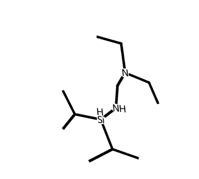 CCN(CC)CN[SiH](C(C)C)C(C)C